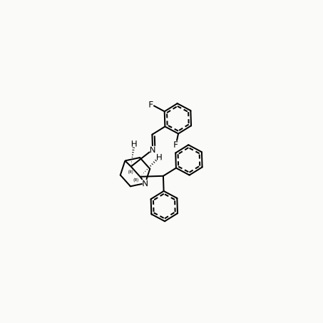 Fc1cccc(F)c1C=N[C@@H]1C2CCN(CC2)[C@@H]1C(c1ccccc1)c1ccccc1